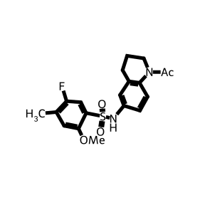 COc1cc(C)c(F)cc1S(=O)(=O)Nc1ccc2c(c1)CCCN2C(C)=O